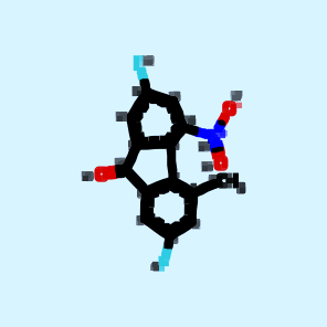 Cc1cc(F)cc2c1-c1c(cc(F)cc1[N+](=O)[O-])C2=O